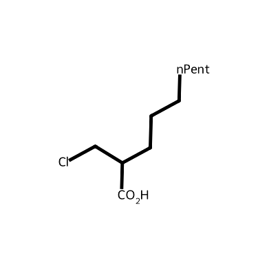 CCCCCCCCC(CCl)C(=O)O